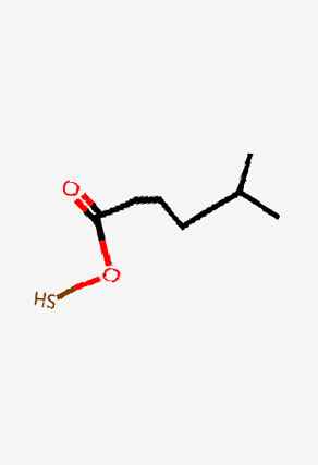 CC(C)CCC(=O)OS